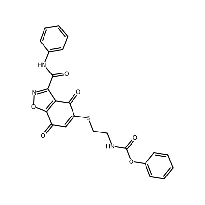 O=C(NCCSC1=CC(=O)c2onc(C(=O)Nc3ccccc3)c2C1=O)Oc1ccccc1